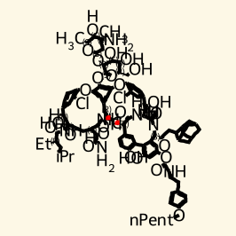 CCCCCOc1ccc(CCNC(=O)Oc2cc(O)c3c(c2)[C@@H](C(=O)CC2C4CC5CC(C4)CC2C5)NC(=O)[C@H]2NC(=O)[C@H](CC(=O)[C@@H]4NC(=O)[C@H](CC(N)=O)CC(=O)[C@H](NC(=O)[C@H](CC)CC(C)C)[C@H](O)c5ccc(c(Cl)c5)Oc5cc4cc(c5O[C@@H]4O[C@H](CO)[C@@H](O)[C@H](O)[C@H]4O[C@H]4C[C@](C)(N)[C@H](O)[C@H](C)O4)Oc4ccc(cc4Cl)[C@H]2O)c2ccc(O)c-3c2)cc1